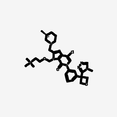 C[C@H]1CCCN(Cc2cc3c(Cl)cn(-c4cccc(C5(c6nncn6C)COC5)c4)c(=O)c3n2COCC[Si](C)(C)C)C1